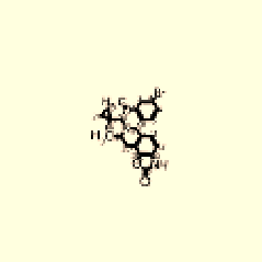 COc1cc(Br)ccc1[C@@H]1c2ccc3[nH]c(=O)oc3c2C[C@@H](C)N1CC1(F)CC1